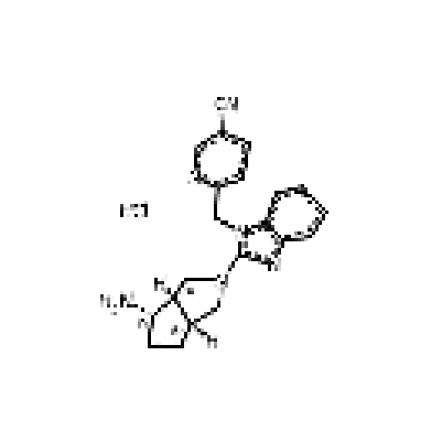 Cl.N#Cc1ccc(Cn2c(N3C[C@@H]4CC[C@H](N)[C@@H]4C3)nc3ccccc32)nc1